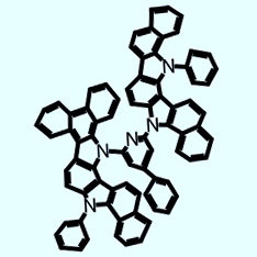 c1ccc(-c2cc(-n3c4ccc5c6ccc7ccccc7c6n(-c6ccccc6)c5c4c4ccc5ccccc5c43)nc(-n3c4c5ccccc5c5ccccc5c4c4ccc5c(c6ccc7ccccc7c6n5-c5ccccc5)c43)c2)cc1